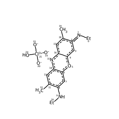 CCN=c1cc2oc3cc(NCC)c(C)cc3nc-2cc1C.[O-][Cl+3]([O-])([O-])O